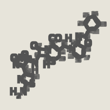 CO/N=C(\C(=O)NC1C(=O)N2C(C(=O)O)=C(CN3C=CC=C4OC(c5ccccc5)N=C43)CS[C@H]12)c1csc(N)n1